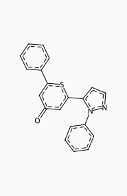 O=c1cc(-c2ccccc2)sc(-c2ccnn2-c2ccccc2)c1